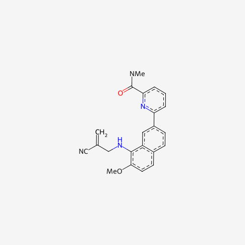 C=C(C#N)CNc1c(OC)ccc2ccc(-c3cccc(C(=O)NC)n3)cc12